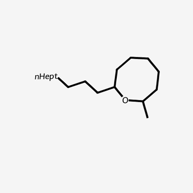 CCCCCCCCCCC1CCCCCC(C)O1